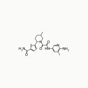 Cc1cc(NC(=O)C(=O)N2CC(C)CCC2c2ccc(C(N)=O)s2)cnc1N